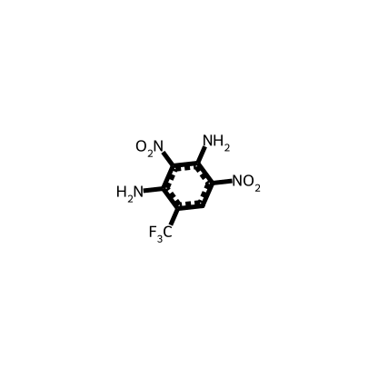 Nc1c([N+](=O)[O-])cc(C(F)(F)F)c(N)c1[N+](=O)[O-]